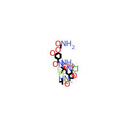 COc1cc(C(=O)N(N)CC(O)(c2cc3c(c(Cl)n2)OCC3(C)N[S+]([O-])C(C)(C)C)C(F)(F)F)ccc1OCC(N)=O